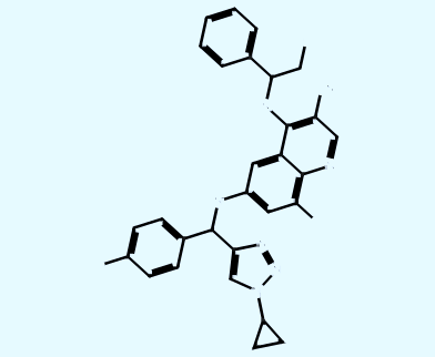 N#Cc1cnc2c(Cl)cc(NC(c3ccc(F)cc3)c3cn(C4CC4)nn3)cc2c1NC(CC(F)(F)F)c1ccccc1